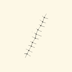 CC(F)(F)C(F)(F)C(F)(F)C(F)(F)C(F)(F)C(F)(F)C(F)(F)C(F)(F)C(F)(F)C(C)(F)F